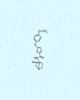 COc1ccc(Sc2ccc(C(=O)N[C@H]3CN4CCC3CC4)s2)cc1